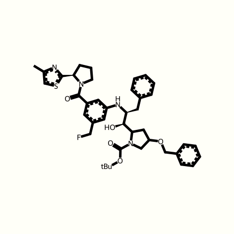 Cc1csc([C@H]2CCCN2C(=O)c2cc(CF)cc(N[C@@H](Cc3ccccc3)[C@H](O)C3CC(OCc4ccccc4)CN3C(=O)OC(C)(C)C)c2)n1